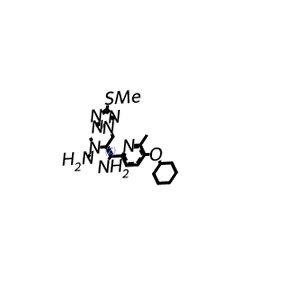 CSc1nnn(C/C(=C(/N)c2ccc(OC3CCCCC3)c(C)n2)N(C)N)n1